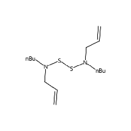 C=CCN(CCCC)SSN(CC=C)CCCC